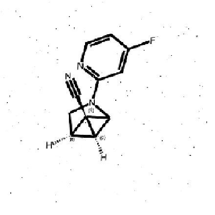 N#C[C@@]12C3[C@H]1[C@H]2CN3c1cc(F)ccn1